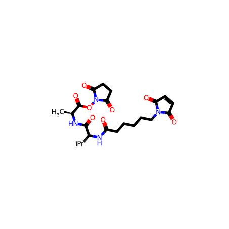 CC(C)C(NC(=O)CCCCCN1C(=O)C=CC1=O)C(=O)N[C@@H](C)C(=O)ON1C(=O)CCC1=O